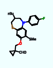 CCCCC1CSc2cc(OCC3(C=O)CC3)c(SC)cc2N(c2ccc(F)cc2)C1